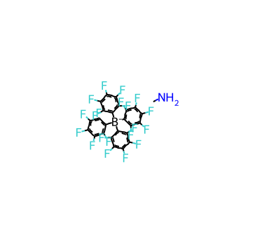 CN.Fc1c(F)c(F)c([B-](c2c(F)c(F)c(F)c(F)c2F)(c2c(F)c(F)c(F)c(F)c2F)c2c(F)c(F)c(F)c(F)c2F)c(F)c1F